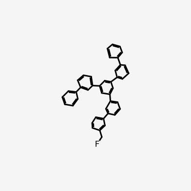 FCc1cccc(-c2cccc(-c3cc(-c4cccc(-c5ccccc5)c4)cc(-c4cccc(-c5ccccc5)c4)c3)c2)c1